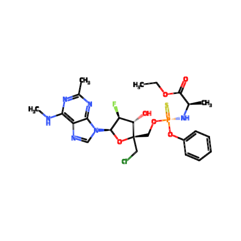 CCOC(=O)[C@@H](C)N[P@@](=S)(OC[C@@]1(CCl)O[C@@H](n2cnc3c(NC)nc(C)nc32)[C@@H](F)[C@@H]1O)Oc1ccccc1